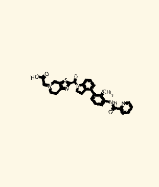 Cc1c(NC(=O)c2ccccn2)cccc1-c1cccc2c1CCN2C(=O)c1nc2c(s1)CN(CC(=O)O)CC2